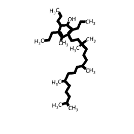 CCCC1=C(CCC(C)(C)CCCC(C)CCCC(C)CCCC(C)C)C(C)=C(CCC)C(CCC)C1O